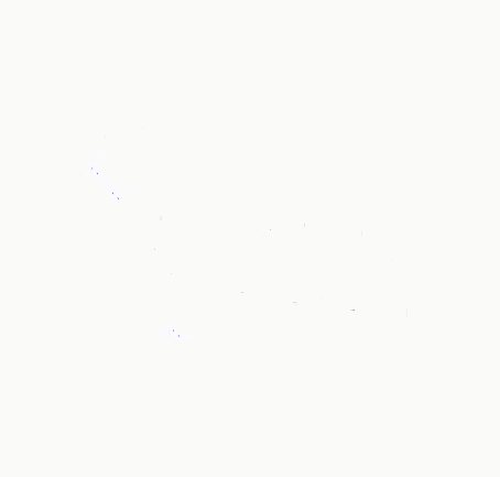 Fc1ccc2ccc(C3=CCNCc4cc(-c5cccnn5)cc(F)c43)cc2c1